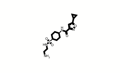 NCCNS(=O)(=O)[C@H]1CC[C@@H](NC(=O)c2cc(C3CC3)on2)CC1